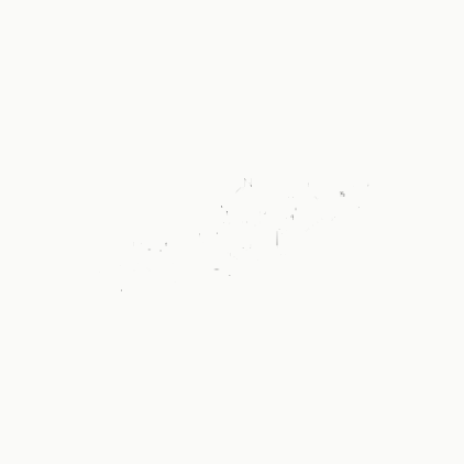 N#CN=C1c2cc(-c3ccc(C(F)(F)F)cc3)ccc2-c2ccc(-c3ccc(C(F)(F)F)cc3)cc21